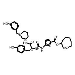 O=C(Nc1ccc(C(=O)OC2CCCCCCC2)s1)N[C@@H](Cc1ccc(O)cc1)C(=O)N[C@H]1CCCN(Cc2cccc(O)c2)C1